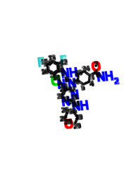 NC(=O)[C@H]1CC[C@@H](n2c(Nc3c(F)cc(F)cc3Cl)nc3cnc(NC4CCOCC4)nc32)CC1